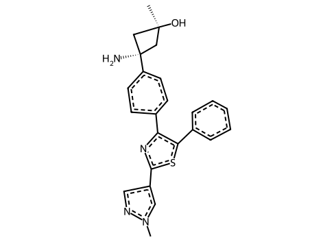 Cn1cc(-c2nc(-c3ccc([C@]4(N)C[C@](C)(O)C4)cc3)c(-c3ccccc3)s2)cn1